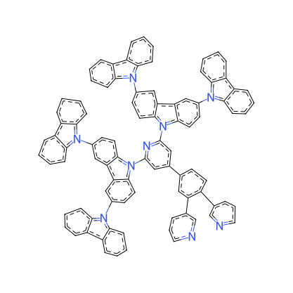 c1cncc(-c2ccc(-c3cc(-n4c5ccc(-n6c7ccccc7c7ccccc76)cc5c5cc(-n6c7ccccc7c7ccccc76)ccc54)nc(-n4c5ccc(-n6c7ccccc7c7ccccc76)cc5c5cc(-n6c7ccccc7c7ccccc76)ccc54)c3)cc2-c2cccnc2)c1